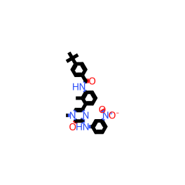 Cc1c(NC(=O)c2ccc(C(C)(C)C)cc2)cccc1-c1cn(C)c(=O)c(Nc2cccc([N+](=O)[O-])c2)n1